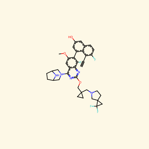 C#Cc1c(F)ccc2cc(O)cc(-c3c(OC)cc4c(N5CC6CCC(C5)N6)nc(OCC5(CN6CCC7(C6)CC7(F)F)CC5)nc4c3F)c12